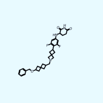 O=C1CCC(Nc2cc(F)c(C3CC4(C3)CN(CC3CC5(C3)CC(OCc3ccccc3)C5)C4)c(F)c2)C(=O)N1